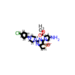 COC(=O)[C@@H]1C[C@@H](N)CN1c1nc(N2CCN(c3ccc(Cl)cc3)CC2)nc2c1[S+]([O-])CC2